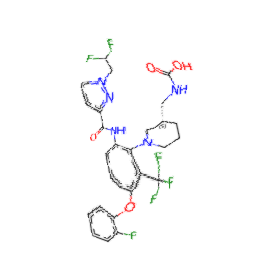 O=C(O)NC[C@@H]1CCCN(c2c(NC(=O)c3ccn(CC(F)F)n3)ccc(Oc3ccccc3F)c2C(F)(F)F)C1